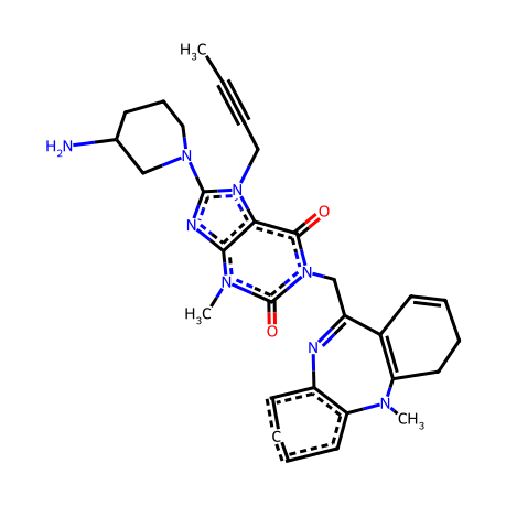 CC#CCn1c(N2CCCC(N)C2)nc2c1c(=O)n(CC1=Nc3ccccc3N(C)C3=C1C=CCC3)c(=O)n2C